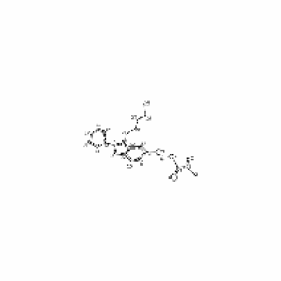 C=C(C)C(=O)OCOc1ccc2cc(-c3ccccc3)n(CCCCC)c2c1